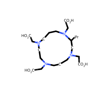 CC(C)C1CN(CC(=O)O)CCCN(CC(=O)O)CCN(CC(=O)O)CCCN1CC(=O)O